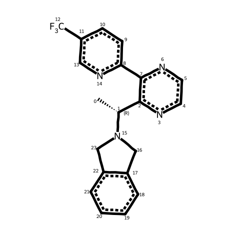 C[C@H](c1nccnc1-c1ccc(C(F)(F)F)cn1)N1Cc2ccccc2C1